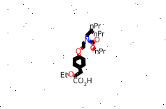 CCCOC(=O)N(CCOc1ccc(CC(OCC)C(=O)O)cc1)CC(CCC)CCC